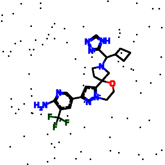 Nc1ncc(-c2cc3n(n2)CCOC32CCN(C(c3nnc[nH]3)C3CCC3)C2)cc1C(F)(F)F